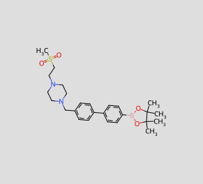 CC1(C)OB(c2ccc(-c3ccc(CN4CCN(CCS(C)(=O)=O)CC4)cc3)cc2)OC1(C)C